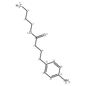 CCCCOC(=O)CCCc1ccc(N)cc1